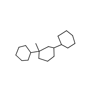 CC1(C2CCCCC2)CCCC(C2CCCCC2)C1